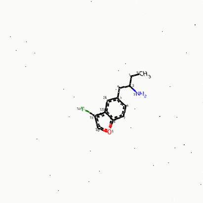 CCC(N)Cc1ccc2occ(F)c2c1